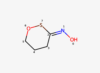 ON=C1CCCOS1